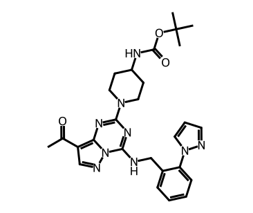 CC(=O)c1cnn2c(NCc3ccccc3-n3cccn3)nc(N3CCC(NC(=O)OC(C)(C)C)CC3)nc12